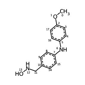 COc1ccc(Nc2ccc(CNO)cc2)cc1